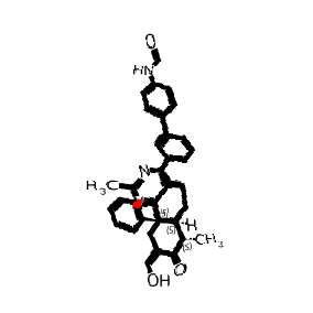 Cc1nc(-c2cccc(-c3ccc(NC=O)cc3)c2)c2c(n1)[C@@]1(c3ccccc3)CC(=CO)C(=O)[C@@H](C)[C@@H]1CC2